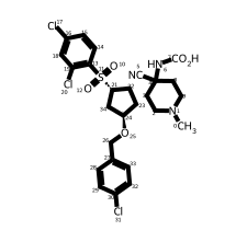 CN1CCC(C#N)(NC(=O)O)CC1.O=S(=O)(c1ccc(Cl)cc1Cl)[C@@H]1CC[C@@H](OCc2ccc(Cl)cc2)C1